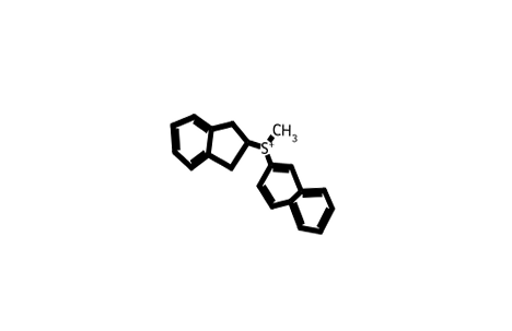 C[S+](c1ccc2ccccc2c1)C1Cc2ccccc2C1